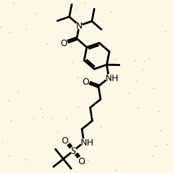 CC(C)N(C(=O)C1=CCC(C)(NC(=O)CCCCNS(=O)(=O)C(C)(C)C)C=C1)C(C)C